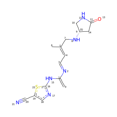 C=C(N=CC=C(C)CN[C@@H]1CNC(=O)C1)Nc1ncc(C#N)s1